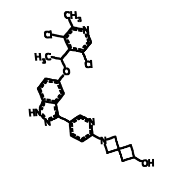 Cc1ncc(Cl)c(C(C)Oc2ccc3[nH]nc(-c4ccc(N5CC6(CC(O)C6)C5)nc4)c3c2)c1Cl